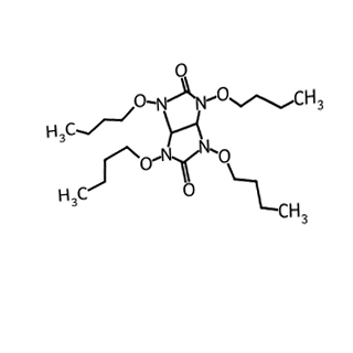 CCCCON1C(=O)N(OCCCC)C2C1N(OCCCC)C(=O)N2OCCCC